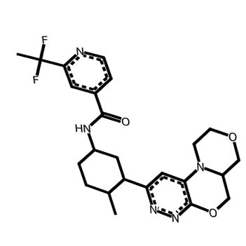 CC1CCC(NC(=O)c2ccnc(C(C)(F)F)c2)CC1c1cc2c(nn1)OCC1COCCN21